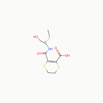 CC[C@@H](CO)NC(=O)C1=C(C(=O)O)SCCS1